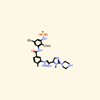 COc1c(NC(=O)c2ccc(C)c(N3C=C(C4CN=C(N5CCNCC5)N4C)NN3)c2)cc(C(C)(C)C)cc1NS(C)(=O)=O